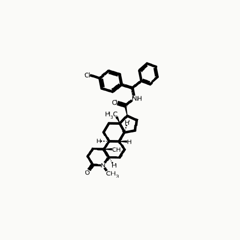 CN1C(=O)CC[C@]2(C)[C@H]3CC[C@]4(C)[C@@H](C(=O)NC(c5ccccc5)c5ccc(Cl)cc5)CC[C@H]4[C@@H]3CC[C@@H]12